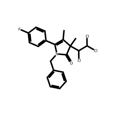 CC1=C(c2ccc(F)cc2)N(Cc2ccccc2)C(=O)C1(C)C(Cl)C(Cl)Cl